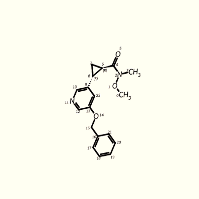 CON(C)C(=O)[C@@H]1C[C@H]1c1cncc(OCc2ccccc2)c1